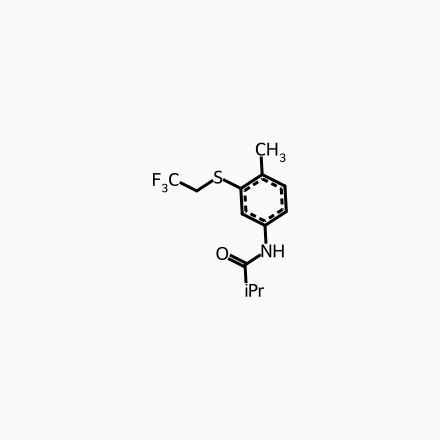 Cc1ccc(NC(=O)C(C)C)cc1SCC(F)(F)F